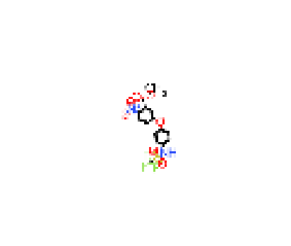 COC(=O)c1cc(Oc2ccc(NS(=O)(=O)C(F)(F)F)cc2)ccc1[N+](=O)[O-]